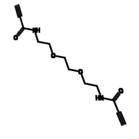 C#CC(=O)NCCOCCOCCNC(=O)C#C